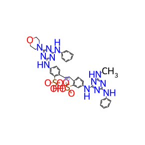 CNc1nc(Nc2ccccc2)nc(Nc2ccc(/C=C/c3ccc(Nc4nc(Nc5ccccc5)nc(N5CCOCC5)n4)cc3S(=O)(=O)O)c(S(=O)(=O)O)c2)n1